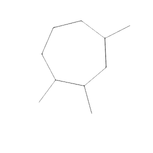 CC1CCCC(C)C(C)C1